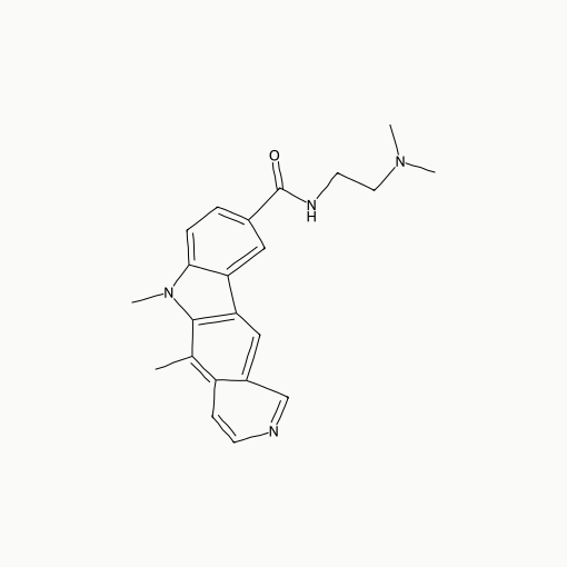 Cc1c2ccncc2cc2c3cc(C(=O)NCCN(C)C)ccc3n(C)c12